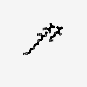 C=C(C)C(=O)O.C=C(C)C(=O)OCCO.COC(O)COCCOCCO